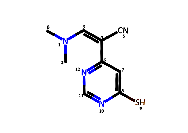 CN(C)/C=C(/C#N)c1cc(S)ncn1